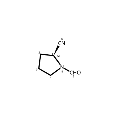 N#C[C@@H]1CCCN1C=O